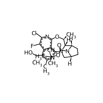 Cc1nc2c3c(nc(Cl)c(F)c3c1[C@H](C)O)O[C@@H](C)[C@@H]1[C@@H]3CC[C@H](CN21)N3C(=O)OC(C)(C)C